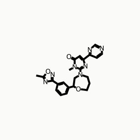 Cc1nc(-c2cccc(C3CN(c4nc(-c5ccncn5)cc(=O)n4C)CCCO3)c2)no1